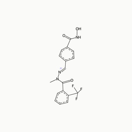 CN(/N=C/c1ccc(C(=O)NO)cc1)C(=O)c1ccccc1C(F)(F)F